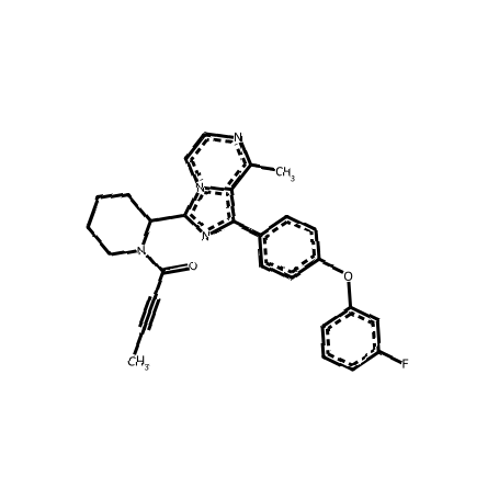 CC#CC(=O)N1CCCCC1c1nc(-c2ccc(Oc3cccc(F)c3)cc2)c2c(C)nccn12